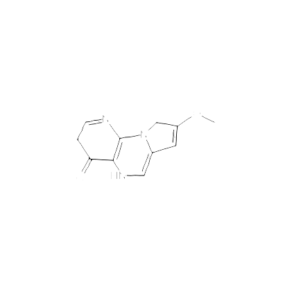 COC1=CC2=CNC3=C(N=CCC3=O)N2C1